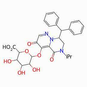 CC(C)N1CC(C(c2ccccc2)c2ccccc2)n2ncc(=O)c(OC3OC(C(=O)O)C(O)C(O)C3O)c2C1=O